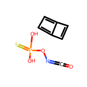 O=C=NOP(O)(O)=S.c1cc2ccc1-2